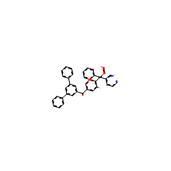 O=C(c1cc(-c2ccccc2)cc(-c2ccccc2)c1)c1ccc2c(c1)Oc1ccncc1C21c2ccccc2Oc2ccccc21